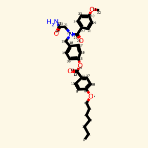 CCCCCCCOc1ccc(C(=O)Oc2ccc(CN(CC(N)=O)C(=O)c3ccc(OC)cc3)cc2)cc1